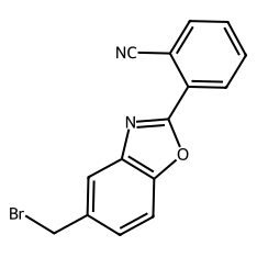 N#Cc1ccccc1-c1nc2cc(CBr)ccc2o1